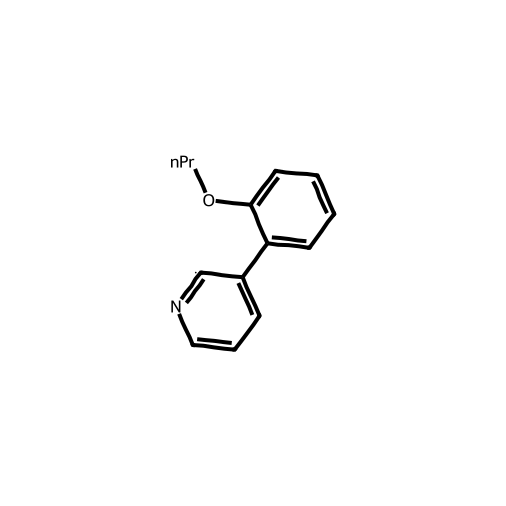 CCCOc1ccccc1-c1[c]nccc1